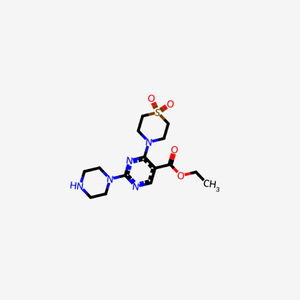 CCOC(=O)c1cnc(N2CCNCC2)nc1N1CCS(=O)(=O)CC1